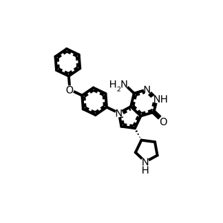 Nc1n[nH]c(=O)c2c([C@@H]3CCNC3)cn(-c3ccc(Oc4ccccc4)cc3)c12